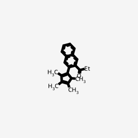 CCC(=O)c1cc2ccccc2cc1C1=C(C)C(C)=C(C)C1C